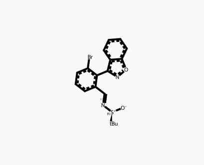 CC(C)(C)[S@+]([O-])/N=C/c1cccc(Br)c1-c1noc2ccccc12